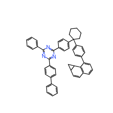 C1=CC2CC2c2c1cccc2-c1ccc(C2(c3ccc(-c4nc(-c5ccccc5)nc(-c5ccc(-c6ccccc6)cc5)n4)cc3)CCCCC2)cc1